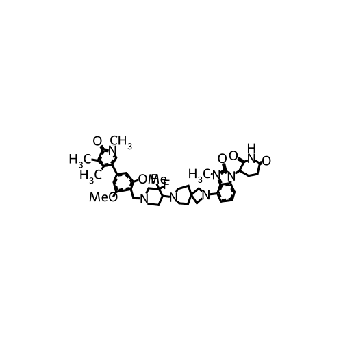 COc1cc(-c2cn(C)c(=O)c(C)c2C)cc(OC)c1CN1CCC(N2CCC3(CC2)CN(c2cccc4c2n(C)c(=O)n4C2CCC(=O)NC2=O)C3)C(F)(F)C1